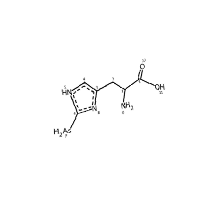 NC(Cc1c[nH]c([AsH2])n1)C(=O)O